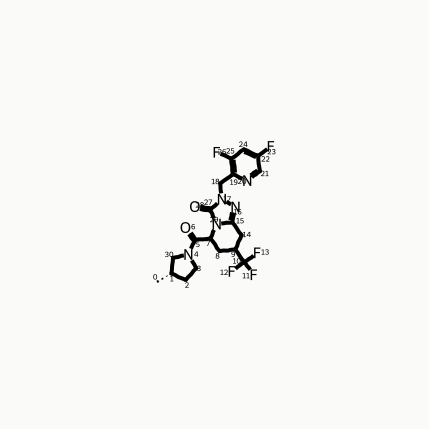 C[C@H]1CCN(C(=O)C2CC(C(F)(F)F)Cc3nn(Cc4ncc(F)cc4F)c(=O)n32)C1